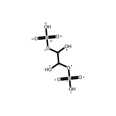 O=S(=O)(O)OC(O)C(O)OS(=O)(=O)O